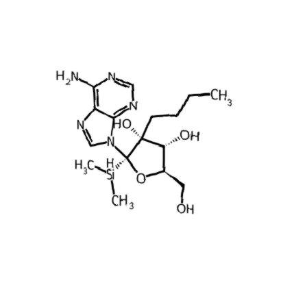 CCCC[C@@]1(O)[C@H](O)[C@@H](CO)O[C@]1(n1cnc2c(N)ncnc21)[SiH](C)C